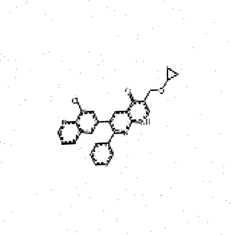 O=c1c(COC2CC2)c[nH]c2nc(-c3ccccc3)c(-c3cc(Cl)c4ncccc4c3)cc12